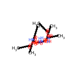 CCCCCCCCCCCC(=O)CC(=O)N[C@H](COCC[C@@H](CCCCCCC)OC(=O)CCCCCCCCCCC)COP(=O)(O)OCCNC(=O)NCCOP(=O)(O)OC[C@@H](COCC[C@@H](CCCCCCC)OC(=O)CCCCCCCCCCC)NC(=O)CC(=O)CCCCCCC